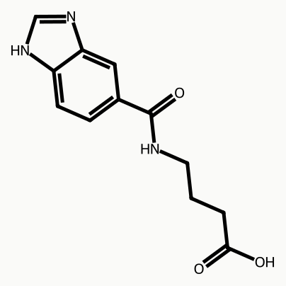 O=C(O)CCCNC(=O)c1ccc2[nH]cnc2c1